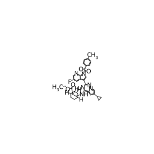 CCOC(=O)[C@H]1[C@H]2CC[C@H](CC2)[C@@H]1Nc1nc(-c2cn(S(=O)(=O)c3ccc(C)cc3)c3ncc(F)cc23)nn2cc(C3CC3)cc12